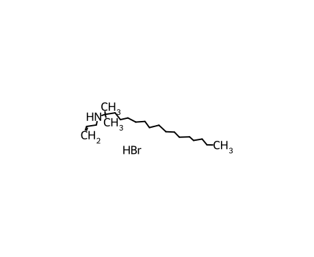 Br.C=CCNC(C)(C)CCCCCCCCCCCCCCC